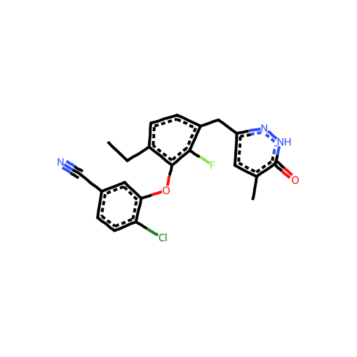 CCc1ccc(Cc2cc(C)c(=O)[nH]n2)c(F)c1Oc1cc(C#N)ccc1Cl